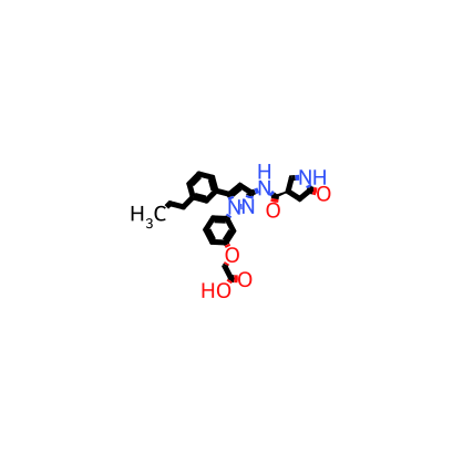 CCCc1cccc(-c2cc(NC(=O)[C@H]3CNC(=O)C3)nn2-c2cccc(OCC(=O)O)c2)c1